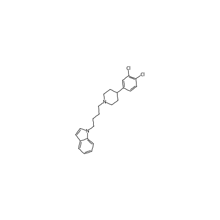 Clc1ccc(C2CCN(CCCCn3ccc4ccccc43)CC2)cc1Cl